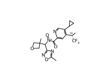 Cc1nc(C([N+](=O)C(=O)c2cc([C@H](C)C(F)(F)F)c(C3CC3)cn2)C2(C)COC2)no1